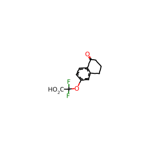 O=C1CCCc2cc(OC(F)(F)C(=O)O)ccc21